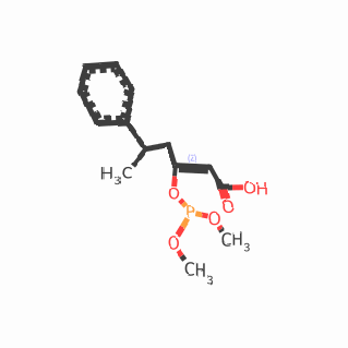 COP(OC)O/C(=C\C(=O)O)CC(C)c1ccccc1